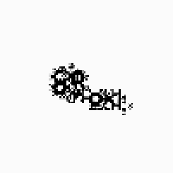 CC(C)(C)c1ccc(CN(Cc2ccc(F)cc2)C(=O)Oc2cccc3c2NCCC3)cc1